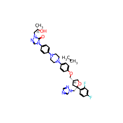 CC.C[C@H](O)Cn1ncn(-c2ccc(N3CCN(c4ccc(OC[C@@H]5CO[C@@](Cn6cncn6)(c6ccc(F)cc6F)C5)cc4)CC3)cc2)c1=O